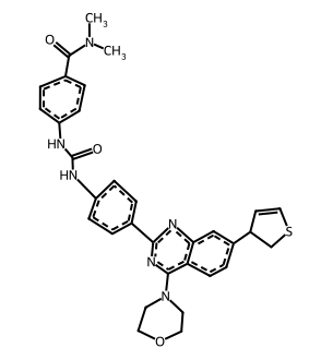 CN(C)C(=O)c1ccc(NC(=O)Nc2ccc(-c3nc(N4CCOCC4)c4ccc(C5C=CSC5)cc4n3)cc2)cc1